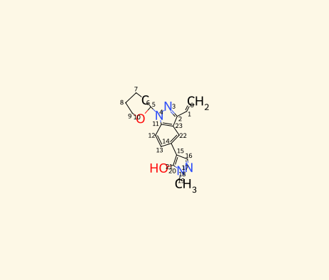 C=Cc1nn(C2CCCCO2)c2ccc(-c3cnn(C)c3O)cc12